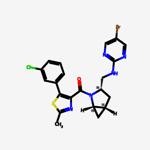 Cc1nc(C(=O)N2[C@H](CNc3ncc(Br)cn3)C[C@@H]3C[C@@H]32)c(-c2cccc(Cl)c2)s1